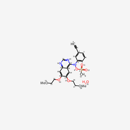 C#Cc1cccc(N(OS(C)(=O)=O)c2ncnc3cc(OCCOC)c(OCCOC)cc23)c1.O